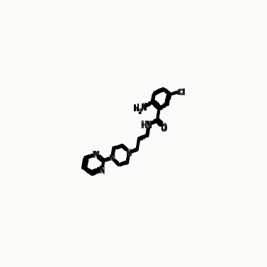 Nc1ccc(Cl)cc1C(=O)NCCCN1CCN(c2ncccn2)CC1